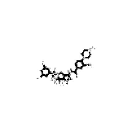 CN1CCN(c2ccc(C(=O)Nc3n[nH]c4c3CN(S(=O)(=O)c3cc(F)cc(F)c3)C4(C)C)cc2[N+](=O)[O-])CC1